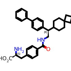 N[C@@H](Cc1ccc(C(=O)NC[C@@H](c2ccc(-c3ccccc3)cc2)C2CCC3(CCC3)CC2)cc1)C(=O)O